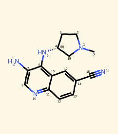 CN1CC[C@@H](Nc2c(N)cnc3ccc(C#N)cc23)C1